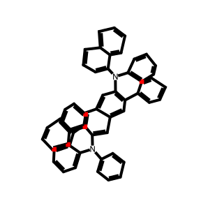 c1ccc(-c2ccccc2N(c2ccccc2)c2cc3cc(-c4ccccc4)c(N(c4ccccc4)c4cccc5ccccc45)cc3cc2-c2ccccc2)cc1